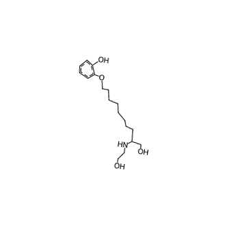 OCCNC(CO)CCCCCCCCOc1ccccc1O